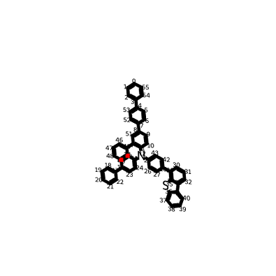 c1ccc(-c2ccc(-c3ccc(N(c4ccc(-c5ccccc5)cc4)c4ccc(-c5cccc6c5sc5ccccc56)cc4)c(-c4ccccc4)c3)cc2)cc1